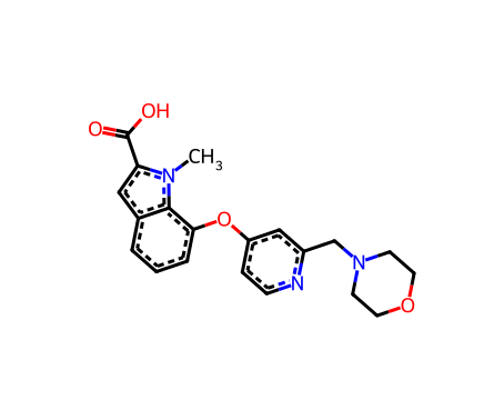 Cn1c(C(=O)O)cc2cccc(Oc3ccnc(CN4CCOCC4)c3)c21